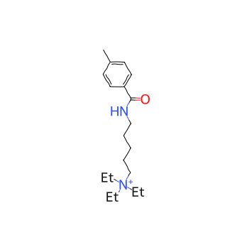 CC[N+](CC)(CC)CCCCCNC(=O)c1ccc(C)cc1